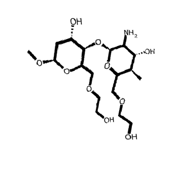 CO[C@H]1C[C@H](O)[C@@H](O[C@@H]2OC(COCCO)[C@H](C)[C@@H](O)C2N)C(COCCO)O1